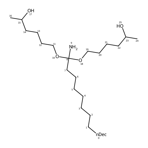 CCCCCCCCCCCCCCCCCC(N)(OCCCCC(C)O)OCCCCC(C)O